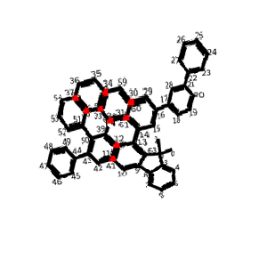 CC1(C)c2ccccc2-c2cccc(-c3cc(-c4cccc(-c5ccccc5)c4)ccc3N(c3ccccc3)c3cccc(-c4ccccc4)c3-c3ccccc3-c3ccccc3)c21